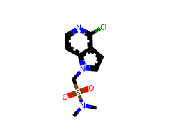 CN(C)S(=O)(=O)Cn1ccc2c(Cl)nccc21